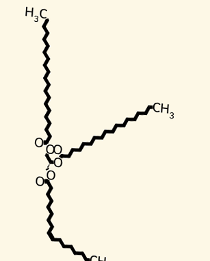 CCCCCCC/C=C\CCCCCCCC(=O)OC[C@H](COC(=O)CCCCCCCCCCCCCCCCCCCC)OC(=O)CCCCCCCCCCCCCCCCC